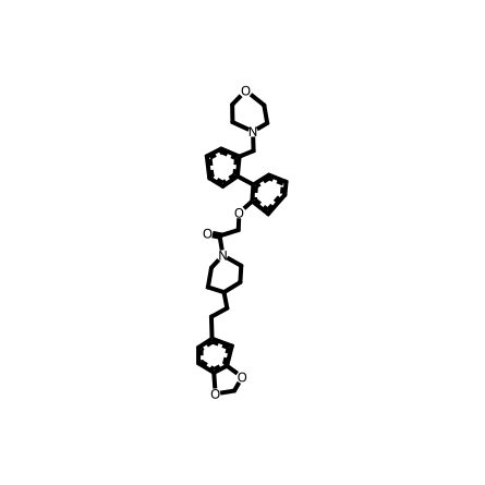 O=C(COc1ccccc1-c1ccccc1CN1CCOCC1)N1CCC(CCc2ccc3c(c2)OCO3)CC1